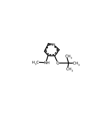 CNc1ccncc1OC(C)(C)C